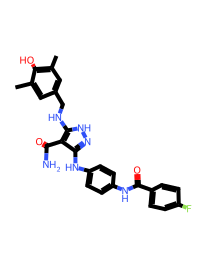 Cc1cc(CNc2[nH]nc(Nc3ccc(NC(=O)c4ccc(F)cc4)cc3)c2C(N)=O)cc(C)c1O